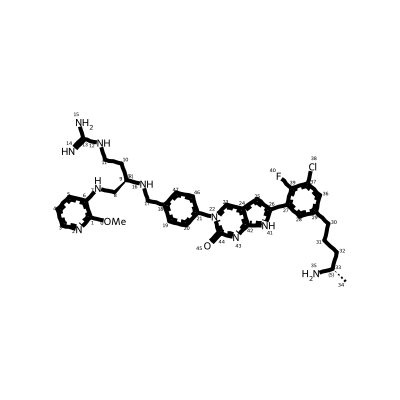 COc1ncccc1NC[C@@H](CCNC(=N)N)NCc1ccc(-n2cc3cc(-c4cc(CCC[C@H](C)N)cc(Cl)c4F)[nH]c3nc2=O)cc1